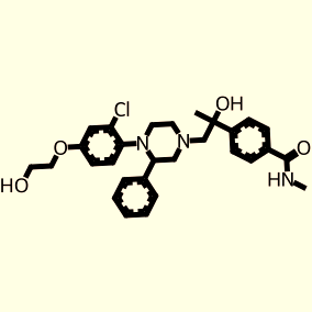 CNC(=O)c1ccc(C(C)(O)CN2CCN(c3ccc(OCCO)cc3Cl)C(c3ccccc3)C2)cc1